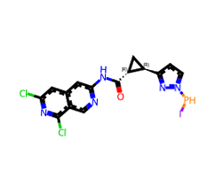 O=C(Nc1cc2cc(Cl)nc(Cl)c2cn1)[C@@H]1C[C@H]1c1ccn(PI)n1